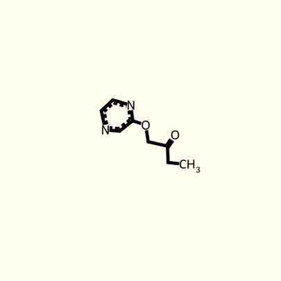 CCC(=O)COc1cnccn1